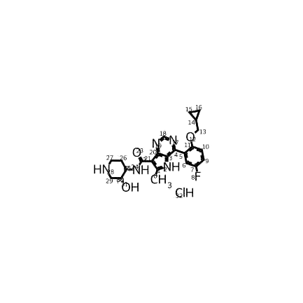 Cc1[nH]c2c(-c3cc(F)ccc3OCC3CC3)ncnc2c1C(=O)N[C@@H]1CCNC[C@H]1O.Cl